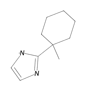 CC1(C2=NC=C[N]2)CCCCC1